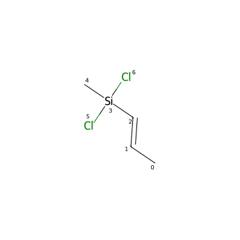 CC=C[Si](C)(Cl)Cl